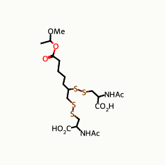 COC(C)OC(=O)CCCCC(CSSCC(NC(C)=O)C(=O)O)SSCC(NC(C)=O)C(=O)O